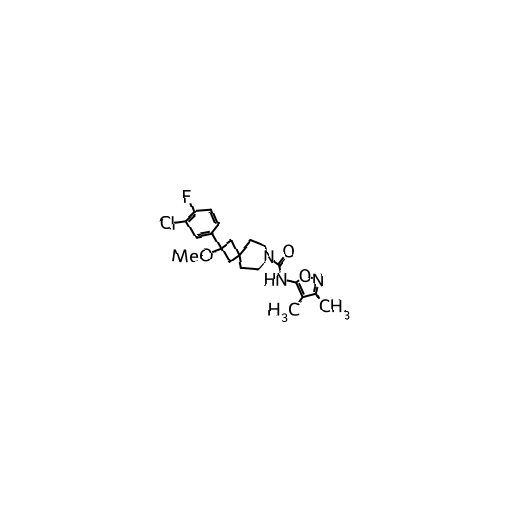 COC1(c2ccc(F)c(Cl)c2)CC2(CCN(C(=O)Nc3onc(C)c3C)CC2)C1